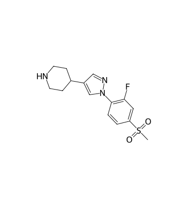 CS(=O)(=O)c1ccc(-n2cc(C3CCNCC3)cn2)c(F)c1